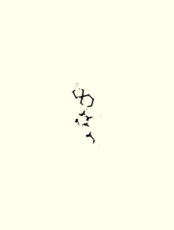 C=C(CC)Sc1ncnc(N2CCCC3(CCN(C)C3)C2)c1C